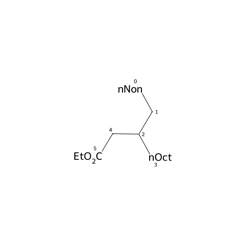 CCCCCCCCCCC(CCCCCCCC)CC(=O)OCC